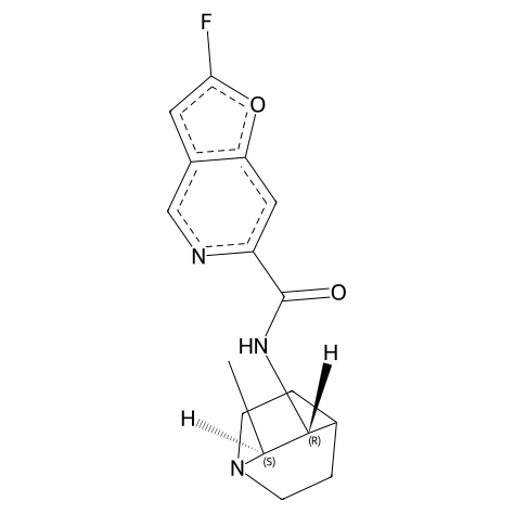 C[C@H]1[C@H](NC(=O)c2cc3oc(F)cc3cn2)C2CCN1CC2